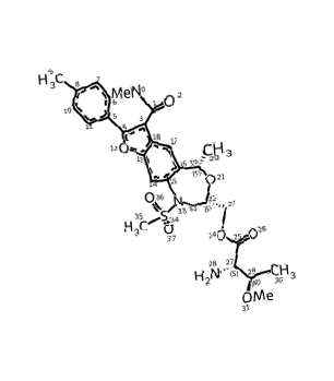 CNC(=O)c1c(-c2ccc(C)cc2)oc2cc3c(cc12)[C@H](C)O[C@H](COC(=O)[C@@H](N)[C@@H](C)OC)CN3S(C)(=O)=O